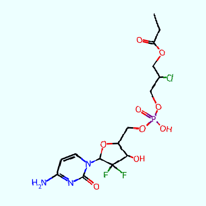 CCC(=O)OCC(Cl)COP(=O)(O)OCC1OC(n2ccc(N)nc2=O)C(F)(F)C1O